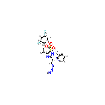 CC(C)c1nc(CCN=[N+]=[N-])n(Cc2ccccn2)c1S(=O)(=O)Oc1cc(F)cc(F)c1